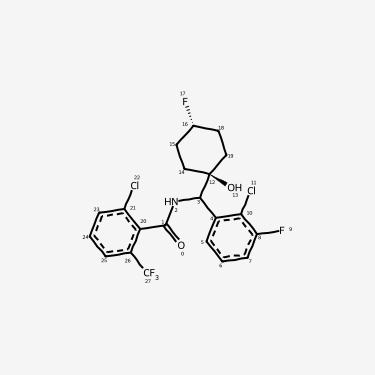 O=C(NC(c1cccc(F)c1Cl)[C@]1(O)CC[C@H](F)CC1)c1c(Cl)cccc1C(F)(F)F